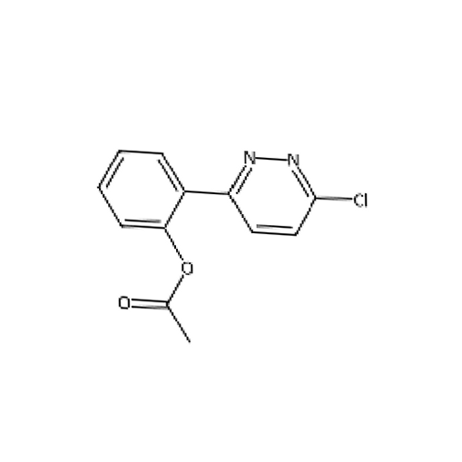 CC(=O)Oc1ccccc1-c1ccc(Cl)nn1